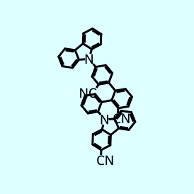 N#Cc1ccc2c(c1)c1ccccc1n2-c1ccccc1-c1c(C#N)cccc1-c1ccc(-n2c3ccccc3c3ccccc32)cc1C#N